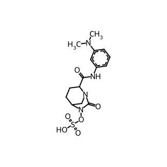 CN(C)c1cccc(NC(=O)C2CCC3CN2C(=O)N3OS(=O)(=O)O)c1